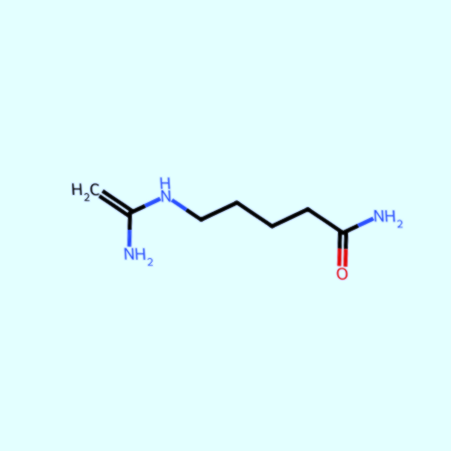 C=C(N)NCCCCC(N)=O